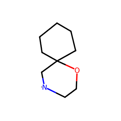 C1CCC2(CC1)C[N]CCO2